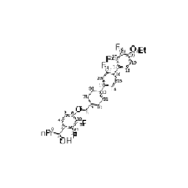 CCCC(O)c1ccc(OCC2CC=C(c3ccc(-c4ccc(OCC)c(F)c4F)c(F)c3)CC2)c(F)c1F